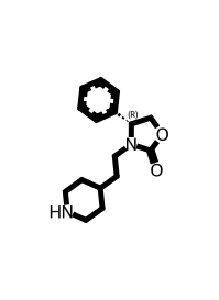 O=C1OC[C@@H](c2ccccc2)N1CCC1CCNCC1